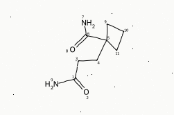 NC(=O)[CH]CC1(C(N)=O)CCC1